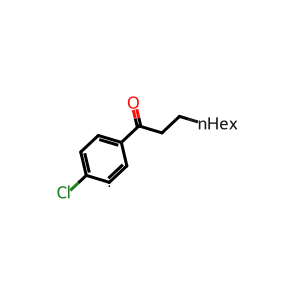 CCCCCCCCC(=O)c1c[c]c(Cl)cc1